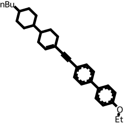 CCCCC1CCC(C2CC=C(C#Cc3ccc(-c4ccc(OCC)cc4)cc3)CC2)CC1